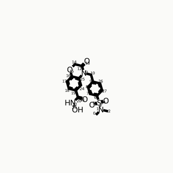 CN(C)S(=O)(=O)c1ccc(CN2C(=O)COc3ccc(C(=O)NO)cc32)cc1